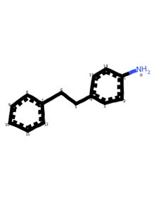 Nc1ccc(C[CH]c2ccccc2)cc1